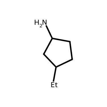 CCC1CCC(N)C1